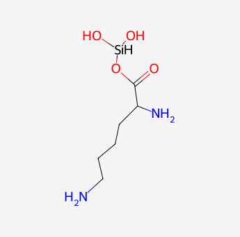 NCCCCC(N)C(=O)O[SiH](O)O